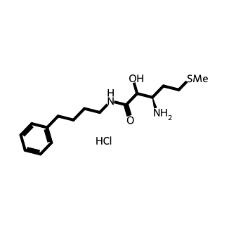 CSCC[C@@H](N)C(O)C(=O)NCCCCc1ccccc1.Cl